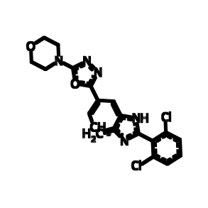 C=c1nc(-c2c(Cl)cccc2Cl)[nH]/c1=C/C(=C\C)c1nnc(N2CCOCC2)o1